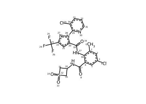 Cc1cc(Cl)cc(C(=O)NC2CS(=O)(=O)C2)c1NC(=O)c1cc(C(F)(F)F)nn1-c1ncccc1Cl